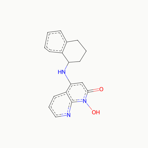 O=c1cc(NC2CCCc3ccccc32)c2cccnc2n1O